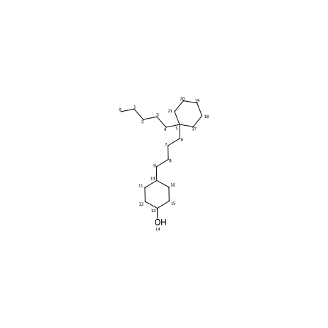 CCCCCC1(CCCCC2CCC(O)CC2)CCCCC1